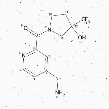 NCc1ccnc(C(=O)N2CCC(O)(C(F)(F)F)C2)c1